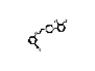 N#Cc1cccc(OCCN2CCN(c3cccc(Cl)c3Cl)CC2)c1